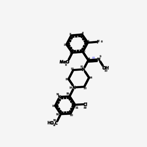 COc1cccc(F)c1/C(=N/O)N1CCN(c2ncc(C(=O)O)cc2Cl)CC1